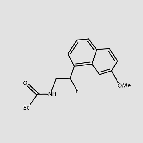 CCC(=O)NCC(F)c1cccc2ccc(OC)cc12